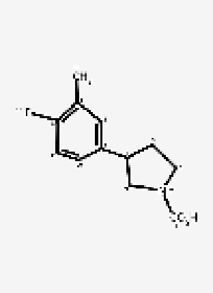 Cc1cc(C2CCN(C(=O)O)C2)ccc1F